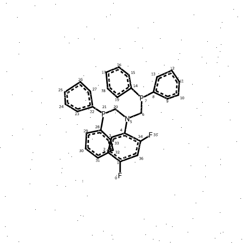 Fc1ccc(N(CP(c2ccccc2)c2ccccc2)CP(c2ccccc2)c2ccccc2)c(F)c1